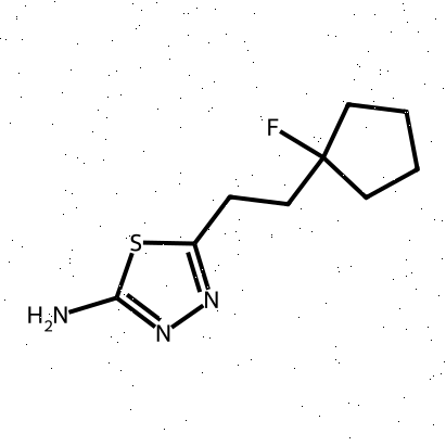 Nc1nnc(CCC2(F)CCCC2)s1